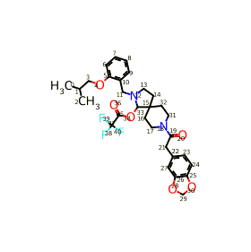 CC(C)COc1ccccc1CN1CCC2(CCN(C(=O)Cc3ccc4c(c3)OCO4)CC2)C1OC(=O)C(F)(F)F